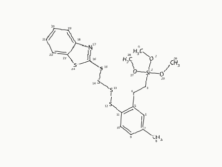 CO[Si](CCc1cc(C)ccc1SSSSc1nc2ccccc2s1)(OC)OC